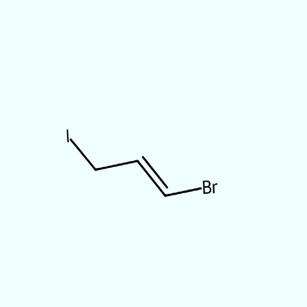 Br/C=C/CI